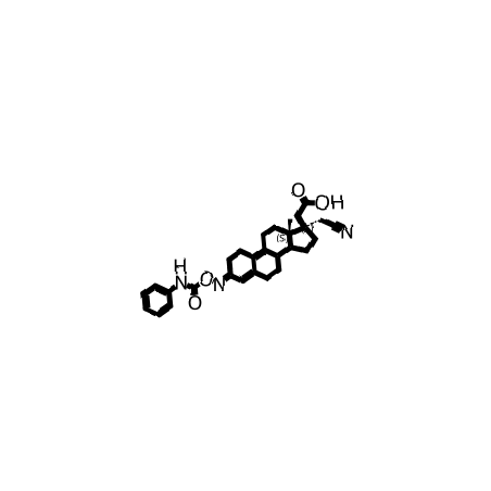 C[C@]12CCC3=C4CCC(=NOC(=O)Nc5ccccc5)C=C4CCC3C1CC[C@]2(CC#N)CC(=O)O